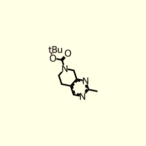 Cc1ncc2c(n1)CN(C(=O)OC(C)(C)C)CC2